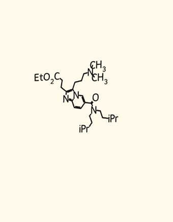 CCOC(=O)CCc1nc2ccc(C(=O)N(CCC(C)C)CCC(C)C)cn2c1CCCN(C)C